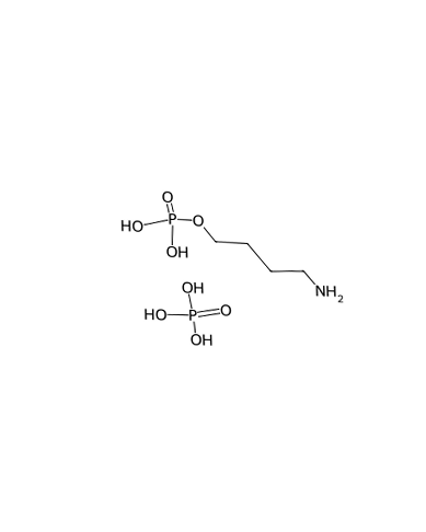 NCCCCOP(=O)(O)O.O=P(O)(O)O